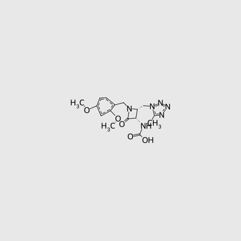 COc1ccc(CN2C(=O)[C@@H](NC(=O)O)[C@H]2Cn2nnnc2C)c(OC)c1